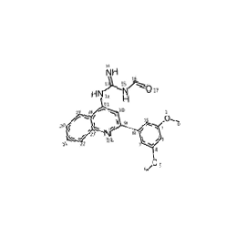 COc1cc(OC)cc(-c2cc(NC(=N)NC=O)c3ccccc3n2)c1